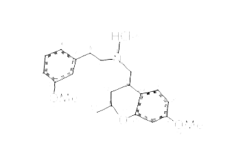 COc1cccc(CCN(C)CC2CC(C)Oc3cc(OC)ccc32)c1.Cl